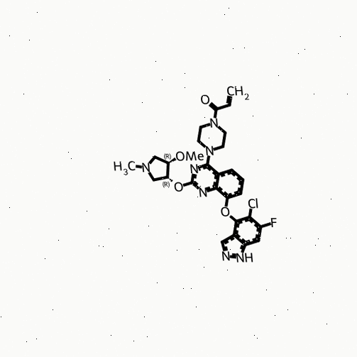 C=CC(=O)N1CCN(c2nc(O[C@@H]3CN(C)C[C@H]3OC)nc3c(Oc4c(Cl)c(F)cc5[nH]ncc45)cccc23)CC1